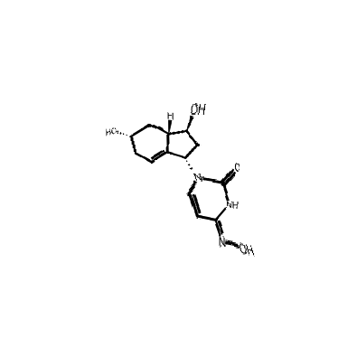 O=c1[nH]/c(=N\O)ccn1[C@H]1C[C@H](O)[C@H]2C[C@@H](O)CC=C21